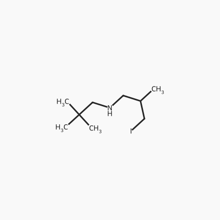 CC(CI)CNCC(C)(C)C